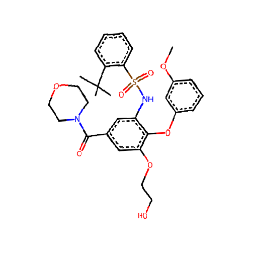 COc1cccc(Oc2c(NS(=O)(=O)c3ccccc3C(C)(C)C)cc(C(=O)N3CCOCC3)cc2OCCO)c1